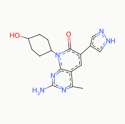 Cc1nc(N)nc2c1cc(-c1cn[nH]c1)c(=O)n2C1CCC(O)CC1